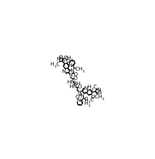 COc1cc2c(cc1-c1c(C)noc1C)ncc1c2n(C(C)c2ccccn2)c(=O)n1CC(=O)NBNC(=O)Cn1c(=O)n(C(C)c2ccccn2)c2c3cc(OC)c(-c4c(C)noc4C)cc3ncc21